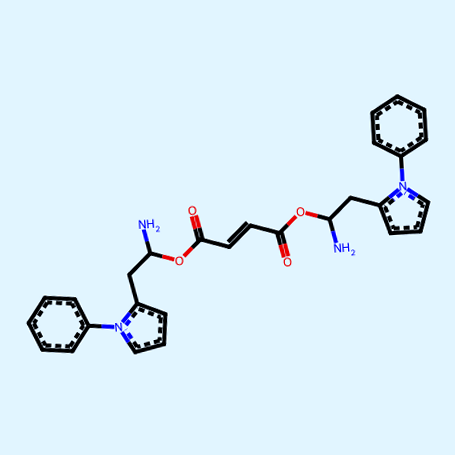 NC(Cc1cccn1-c1ccccc1)OC(=O)/C=C/C(=O)OC(N)Cc1cccn1-c1ccccc1